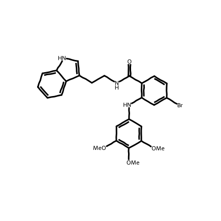 COc1cc(Nc2cc(Br)ccc2C(=O)NCCc2c[nH]c3ccccc23)cc(OC)c1OC